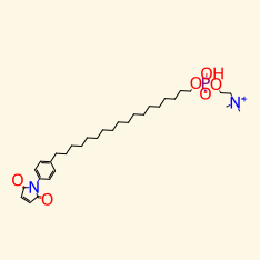 C[N+](C)(C)CCOP(=O)(O)OCCCCCCCCCCCCCCCCCCc1ccc(N2C(=O)C=CC2=O)cc1